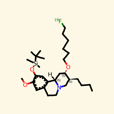 CCCC[C@H]1CN2CCc3cc(OC)c(O[Si](C)(C)C(C)(C)C)cc3[C@@H]2C[C@@H]1OCCCCCC[19F]